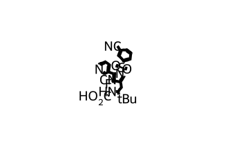 CC(C)(C)C(Cc1cn(S(=O)(=O)c2cccc(C#N)c2)c(-c2cccnc2C#N)c1F)NC(=O)O